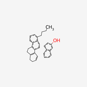 CCCCc1cccc2c3c(ccc12)C1=C(CCC=C1)CC3.Oc1ccc2ccccc2c1